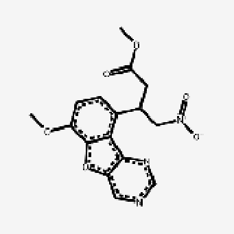 COC(=O)CC(C[N+](=O)[O-])c1ccc(OC)c2oc3cncnc3c12